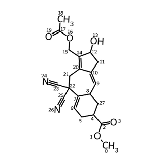 COC(=O)C1CC=C2C(C=C3CC(O)C(COC(C)=O)=C3CC2(C#N)C#N)C1